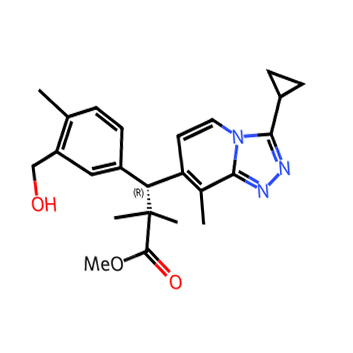 COC(=O)C(C)(C)[C@H](c1ccc(C)c(CO)c1)c1ccn2c(C3CC3)nnc2c1C